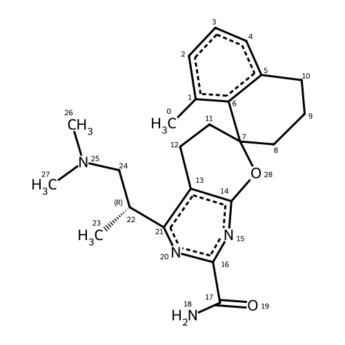 Cc1cccc2c1C1(CCC2)CCc2c(nc(C(N)=O)nc2[C@H](C)CN(C)C)O1